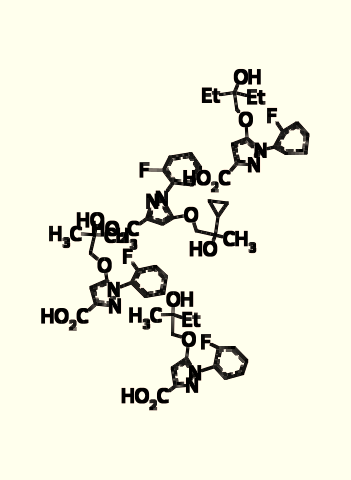 CC(C)(O)COc1cc(C(=O)O)nn1-c1ccccc1F.CC(O)(COc1cc(C(=O)O)nn1-c1ccccc1F)C1CC1.CCC(C)(O)COc1cc(C(=O)O)nn1-c1ccccc1F.CCC(O)(CC)COc1cc(C(=O)O)nn1-c1ccccc1F